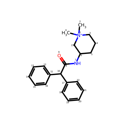 C[N+]1(C)CCCC(NC(=O)C(c2ccccc2)c2ccccc2)C1